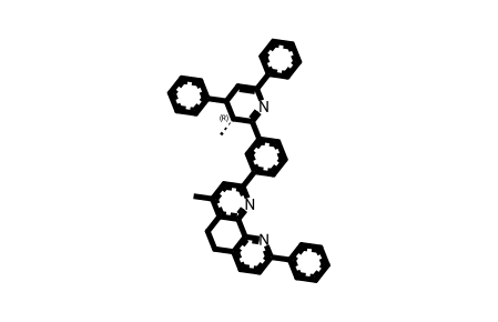 Cc1cc(-c2cccc(C3=NC(c4ccccc4)=CC(c4ccccc4)[C@H]3C)c2)nc2c1CCc1ccc(-c3ccccc3)nc1-2